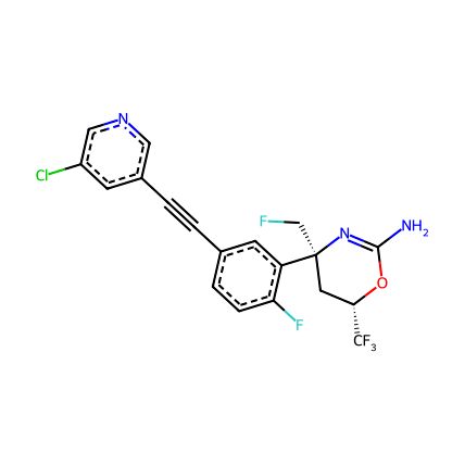 NC1=N[C@](CF)(c2cc(C#Cc3cncc(Cl)c3)ccc2F)C[C@@H](C(F)(F)F)O1